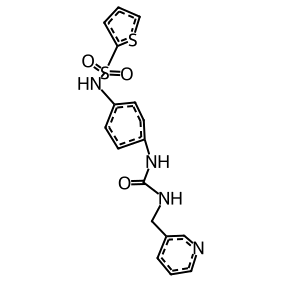 O=C(NCc1cccnc1)Nc1ccc(NS(=O)(=O)c2cccs2)cc1